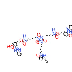 CC(=O)NCCCCCCn1c(=O)n(CCCCCCNC(=O)OCCc2ccc(O)c(-n3nc4ccccc4n3)c2)c(=O)n(CCCCCCNC(=O)OCCc2ccc(O)c(-n3nc4ccccc4n3)c2)c1=O